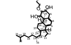 CCO[C@@H]1[C@H](O)CC2=CC=C3[C@@H]4CC[C@H]([C@H](C)CCCC(C)C)[C@@]4(C)CC[C@@H]3[C@@]2(C)[C@H]1O